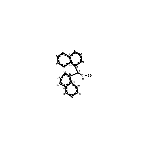 O=[C]C(c1cccc2ccccc12)c1cccc2ccccc12